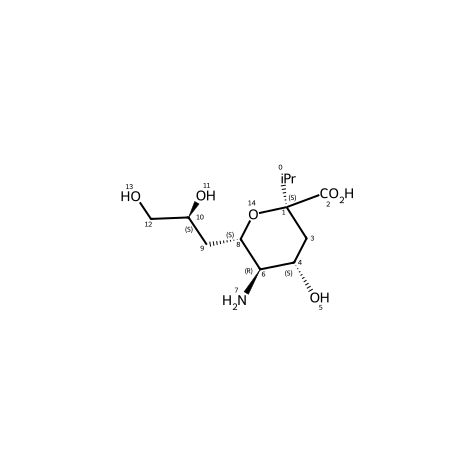 CC(C)[C@]1(C(=O)O)C[C@H](O)[C@@H](N)[C@H](C[C@H](O)CO)O1